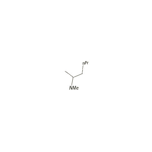 CCCCC(C)NC